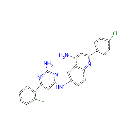 Nc1nc(Nc2ccc3nc(-c4ccc(Cl)cc4)cc(N)c3c2)cc(-c2ccccc2F)n1